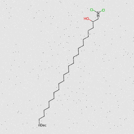 CCCCCCCCCCCCCCCCCCCCCCCCCCCCCCCCC(O)C[SiH](Cl)Cl